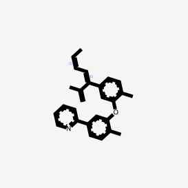 C=C(C)/C(=C\C=C/C)c1ccc(C)c(Oc2cc(-c3ccccn3)ccc2C)c1